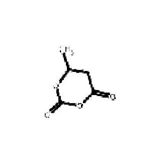 CC1CC(=O)OC(=O)O1